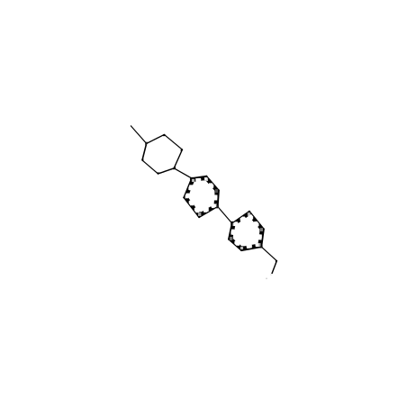 CC1CCC(c2ccc(-c3ccc(CO)cc3)cc2)CC1